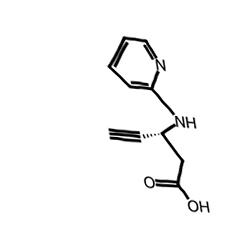 C#C[C@@H](CC(=O)O)Nc1ccccn1